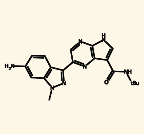 Cn1nc(-c2cnc3[nH]cc(C(=O)NC(C)(C)C)c3n2)c2ccc(N)cc21